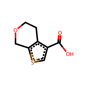 O=C(O)c1csc2c1CCOC2